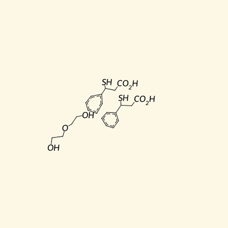 O=C(O)CC(S)c1ccccc1.O=C(O)CC(S)c1ccccc1.OCCOCCO